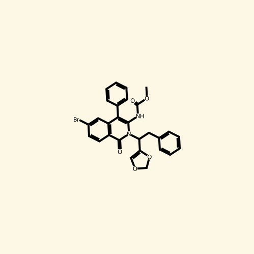 COC(=O)Nc1c(-c2ccccc2)c2cc(Br)ccc2c(=O)n1C(Cc1ccccc1)C1=COCO1